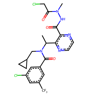 CC(c1nccnc1C(=O)NN(C)C(=O)CCl)N(CC1CC1)C(=O)c1cc(Cl)cc(C(F)(F)F)c1